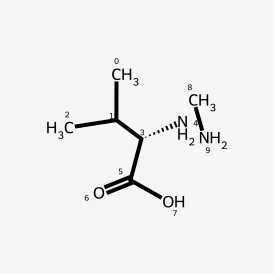 CC(C)[C@H](N)C(=O)O.CN